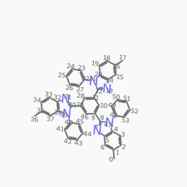 Cc1ccc2c(c1)nc(-c1cc(-c3nc4cc(C)ccc4n3-c3ccccc3)cc(-c3nc4ccc(C)cc4n3-c3ccccc3)c1)n2-c1ccccc1